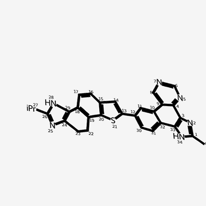 Cc1nc2c3ncncc3c3cc(-c4cc5ccc6c(c5s4)CCc4nc(C(C)C)[nH]c4-6)ccc3c2[nH]1